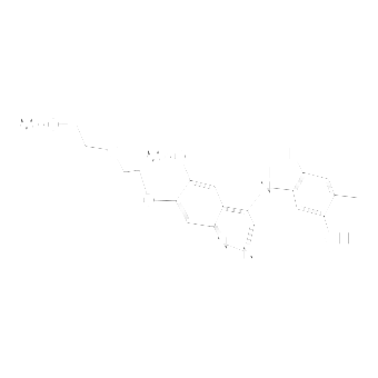 COCCOCCOc1cc2nncc(Nc3cc(O)c(C)cc3F)c2cc1OC